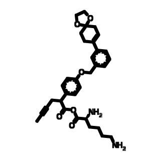 CC#CCC(C(=O)OC(=O)[C@@H](N)CCCCN)c1ccc(OCc2cccc(C3=CCC4(CC3)OCCO4)c2)cc1